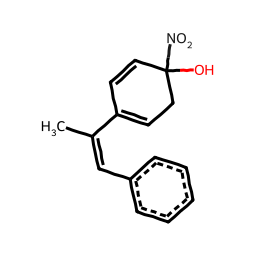 CC(=Cc1ccccc1)C1=CCC(O)([N+](=O)[O-])C=C1